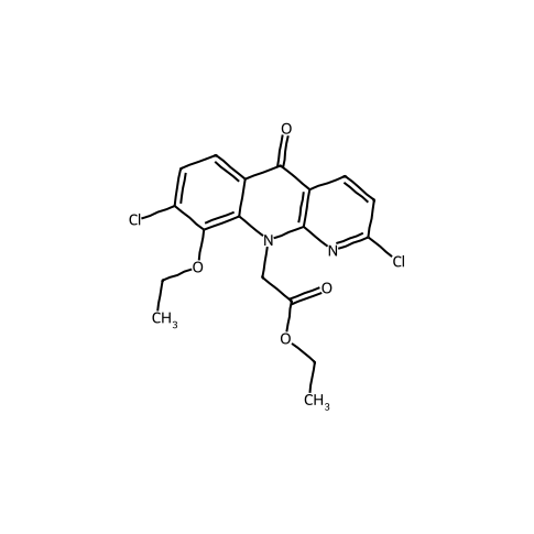 CCOC(=O)Cn1c2nc(Cl)ccc2c(=O)c2ccc(Cl)c(OCC)c21